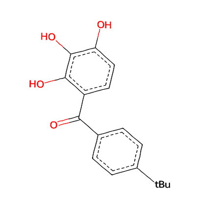 CC(C)(C)c1ccc(C(=O)c2ccc(O)c(O)c2O)cc1